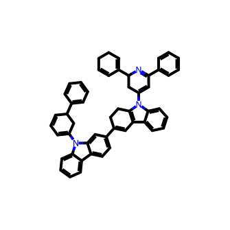 C1=CC(c2ccccc2)CC(n2c3ccccc3c3ccc(C4=Cc5c(n(C6=CC(c7ccccc7)=NC(C7=CCCC=C7)C6)c6ccccc56)CC4)cc32)=C1